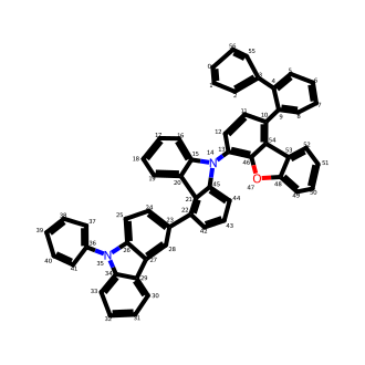 c1ccc(-c2ccccc2-c2ccc(-n3c4ccccc4c4c(-c5ccc6c(c5)c5ccccc5n6-c5ccccc5)cccc43)c3oc4ccccc4c23)cc1